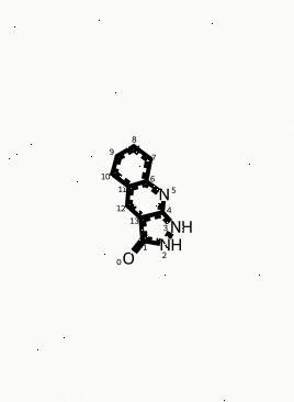 O=c1[nH][nH]c2nc3c[c]ccc3cc12